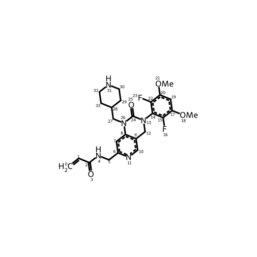 C=CC(=O)NCc1cc2c(cn1)CN(c1c(F)c(OC)cc(OC)c1F)C(=O)N2CC1CCNCC1